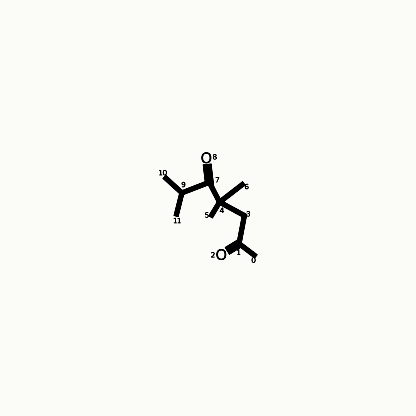 CC(=O)CC(C)(C)C(=O)C(C)C